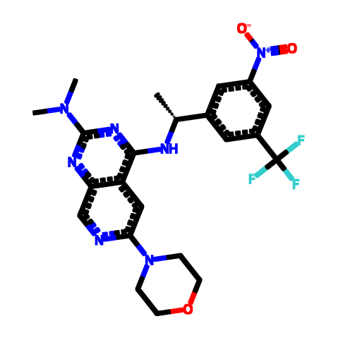 C[C@@H](Nc1nc(N(C)C)nc2cnc(N3CCOCC3)cc12)c1cc([N+](=O)[O-])cc(C(F)(F)F)c1